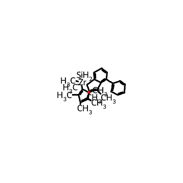 CC1=C(C)C(C)[C]([Zr]([CH3])([CH3])(=[SiH2])[CH]2C(C)=C(C)c3c(-c4ccccc4)cccc32)=C1C